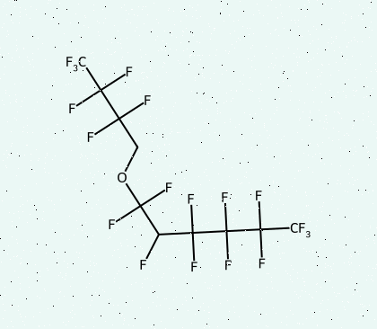 FC(C(F)(F)OCC(F)(F)C(F)(F)C(F)(F)F)C(F)(F)C(F)(F)C(F)(F)C(F)(F)F